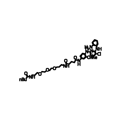 CCCCC(=O)NCCCOCCOCCOCCCNC(=O)CCCC(=O)Nc1ccc(Nc2ncc(Cl)c(Nc3ccccc3N)n2)c(OC)c1